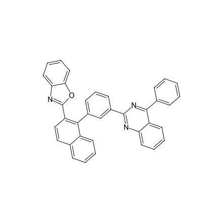 c1ccc(-c2nc(-c3cccc(-c4c(-c5nc6ccccc6o5)ccc5ccccc45)c3)nc3ccccc23)cc1